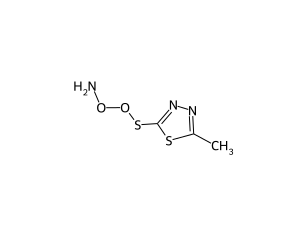 Cc1nnc(SOON)s1